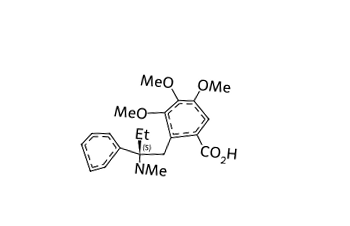 CC[C@@](Cc1c(C(=O)O)cc(OC)c(OC)c1OC)(NC)c1ccccc1